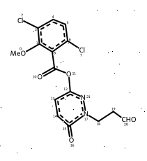 COc1c(Cl)ccc(Cl)c1C(=O)Oc1ccc(=O)n(CCC=O)n1